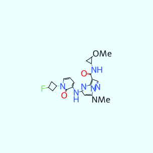 CNc1cc(Nc2cccn([C@H]3C[C@H](F)C3)c2=O)nc2c(C(=O)N[C@@H]3C[C@H]3OC)cnn12